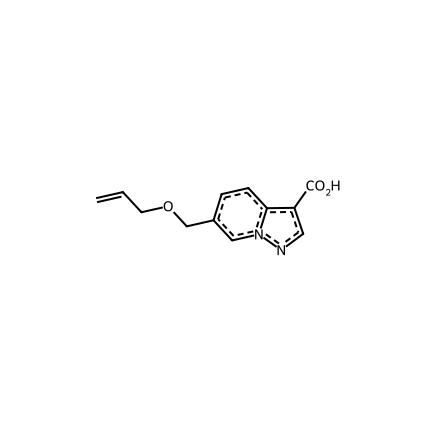 C=CCOCc1ccc2c(C(=O)O)cnn2c1